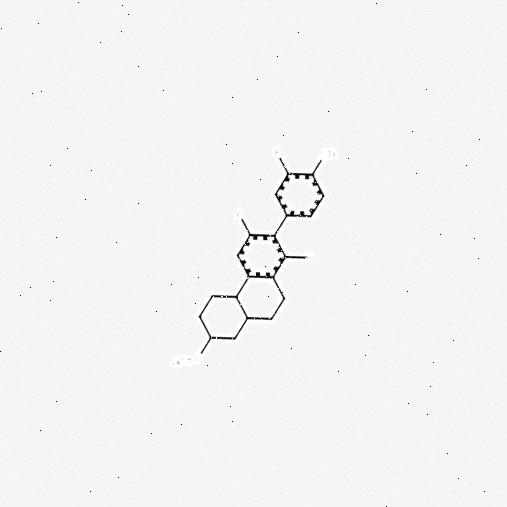 CCCCCC1CCC2c3cc(F)c(-c4ccc(C#N)c(F)c4)c(F)c3CCC2C1